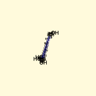 CC1=C(/C=C/C(C)=C/C=C/C(C)=C/C=C/C=C(C)/C=C/C=C(C)/C=C/[C@]2(O)C(C)(C)C[C@H](O)C[C@]2(C)O)C(C)(C)C[C@@H](O)C1